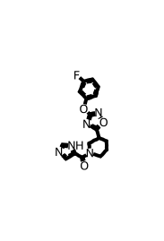 O=C(c1cnc[nH]1)N1CCCC(c2nc(Oc3cccc(F)c3)no2)C1